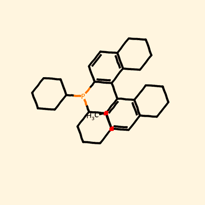 Cc1ccc2c(c1-c1c(P(C3CCCCC3)C3CCCCC3)ccc3c1CCCC3)CCCC2